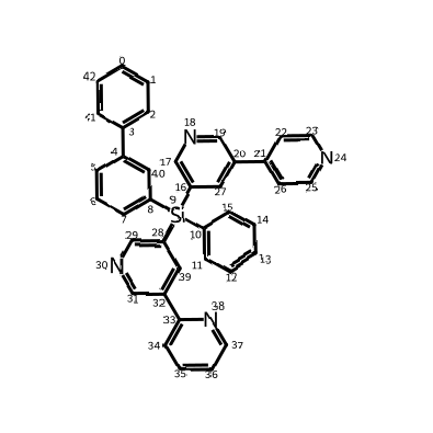 c1ccc(-c2cccc([Si](c3ccccc3)(c3cncc(-c4ccncc4)c3)c3cncc(-c4ccccn4)c3)c2)cc1